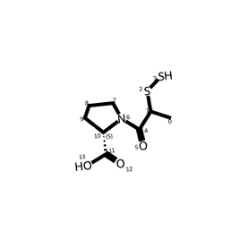 CC(SS)C(=O)N1CCC[C@H]1C(=O)O